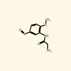 CCC(=O)Nc1cc(N=O)ccc1OC